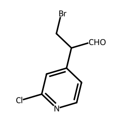 O=CC(CBr)c1ccnc(Cl)c1